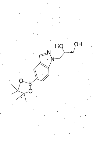 CC1(C)OB(c2ccc3c(cnn3CC(O)CO)c2)OC1(C)C